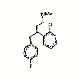 CNCCC(Cc1ccc(F)cc1)c1ccccc1Cl